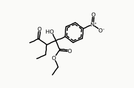 CCOC(=O)C(O)(c1ccc([N+](=O)[O-])cc1)C(CC)C(C)=O